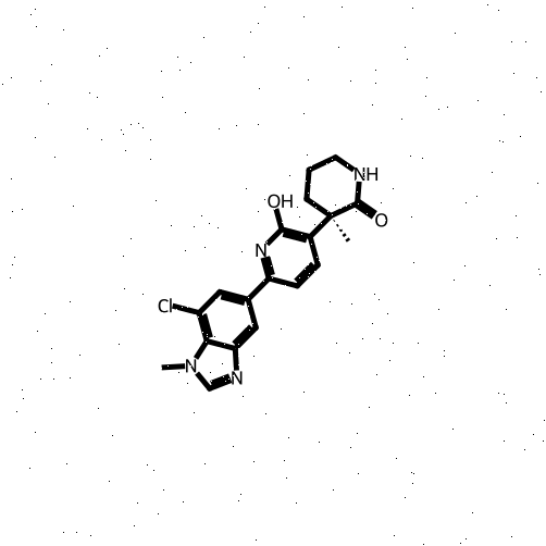 Cn1cnc2cc(-c3ccc([C@@]4(C)CCCNC4=O)c(O)n3)cc(Cl)c21